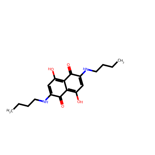 CCCCNC1=CC(O)=C2C(=O)C(NCCCC)=CC(O)=C2C1=O